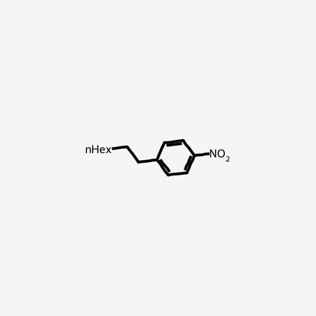 CCCCCCCCc1ccc([N+](=O)[O-])cc1